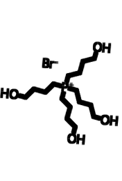 OCCCC[P+](CCCCO)(CCCCO)CCCCO.[Br-]